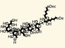 CCCCCCCCCCCCC/C=C/[C@@H](O)[C@H](CO[C@@H]1OC(CO)[C@@H](O[C@@H]2OC(CO)[C@H](O[C@@H]3OC(CO)[C@H](O)[C@H](O[C@@H]4OC(CO)[C@H](O)[C@H](O[C@]5(C(=O)O)CC(O)[C@@H](NC(C)=O)C([C@H](O)[C@H](O)CO)O5)C4O)C3NC(C)=O)[C@H](O)C2O)[C@H](O)C1O)NC(=O)CCCCCCCCCCCCCCC